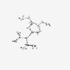 COc1ccc(C(C(=O)O)N(C)C)cc1OC